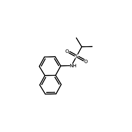 CC(C)S(=O)(=O)Nc1cccc2ccccc12